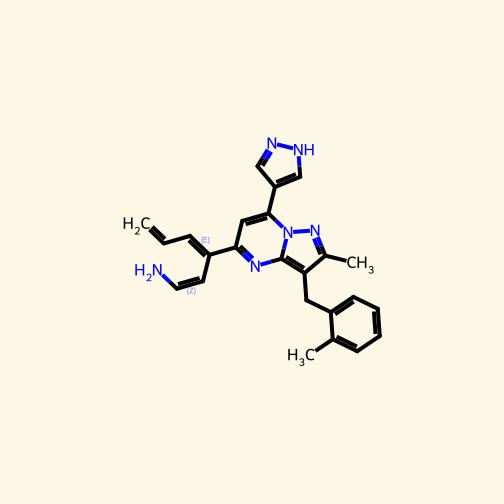 C=C/C=C(\C=C/N)c1cc(-c2cn[nH]c2)n2nc(C)c(Cc3ccccc3C)c2n1